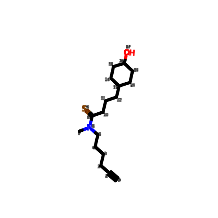 C#CCCCCN(C)C(=S)CCCC1CCC(O)CC1